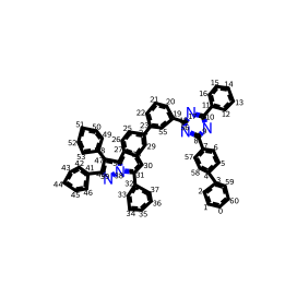 c1ccc(-c2ccc(-c3nc(-c4ccccc4)nc(-c4cccc(-c5ccc6c(c5)cc(-c5ccccc5)n5nc(-c7ccccc7)c(-c7ccccc7)c65)c4)n3)cc2)cc1